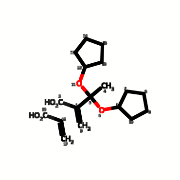 C=C(C(=O)O)C(C)(OC1CCCC1)OC1CCCC1.C=CC(=O)O